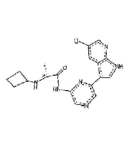 C[C@@H](NC1CCC1)C(=O)Nc1cncc(-c2c[nH]c3ncc(Cl)cc23)n1